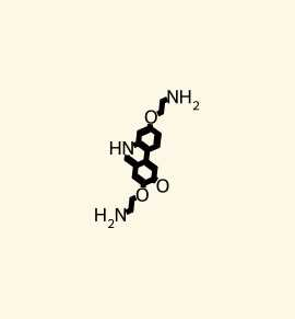 NCCOc1ccc2c3cc(=O)c(OCCN)cc-3c[nH]c2c1